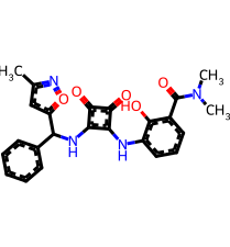 Cc1cc(C(Nc2c(Nc3cccc(C(=O)N(C)C)c3O)c(=O)c2=O)c2ccccc2)on1